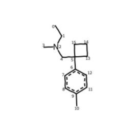 CCN(C)CC1(c2ccc(C)cc2)CCC1